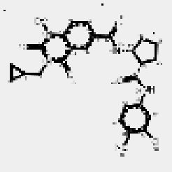 CCn1c(=O)n(CC2CC2)c(=O)c2cc(C(=O)N[C@@H]3CCC[C@@H]3C(=O)Nc3ccc(C#N)c(Cl)c3)ccc21